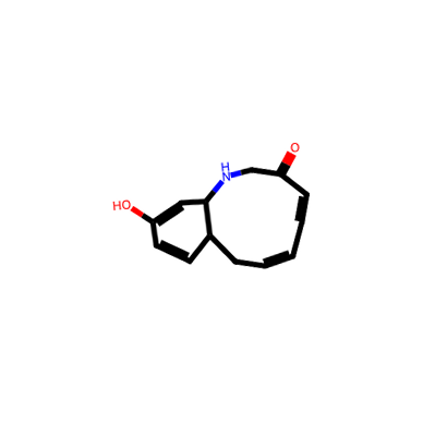 O=C1/C=C\C=C/CC2C=CC(O)=CC2NC1